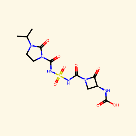 CC(C)N1CCN(C(=O)NS(=O)(=O)NC(=O)N2C[C@H](NC(=O)O)C2=O)C1=O